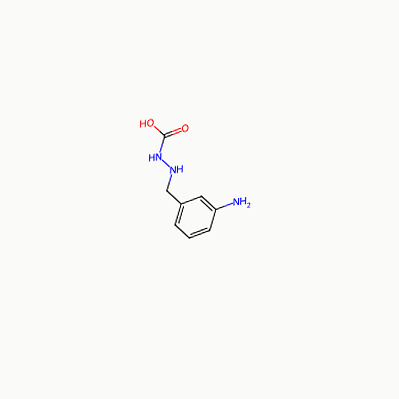 Nc1cccc(CNNC(=O)O)c1